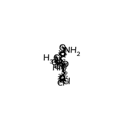 Cn1c(-c2ccc(C(N)=O)cc2)cc(C(=O)NCCCc2ccc(Cl)c(Cl)c2)c(O)c1=O